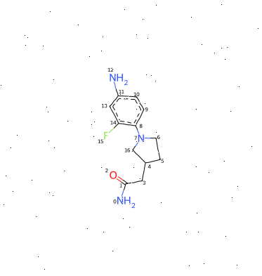 NC(=O)CC1CCN(c2ccc(N)cc2F)C1